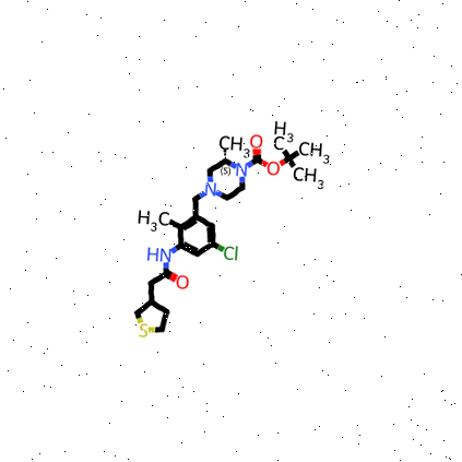 Cc1c(CN2CCN(C(=O)OC(C)(C)C)[C@@H](C)C2)cc(Cl)cc1NC(=O)CC1CCSC1